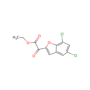 CCOC(=O)C(=O)c1cc2cc(Cl)cc(Cl)c2o1